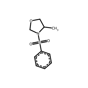 C[C]1COCN1S(=O)(=O)c1ccccc1